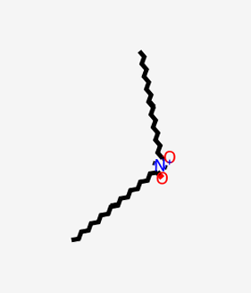 CCCCCCCCC=CCCCCCCCC(=O)[N+](C)(C)C(=O)CCCCCCCC=CCCCCCCCC